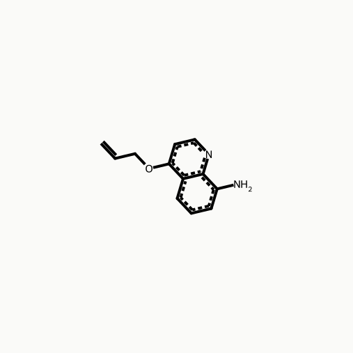 C=CCOc1ccnc2c(N)cccc12